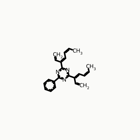 C=C/C(=C\C=C/C)c1nc(/C(C=C)=C/C=C\C)nc(-c2ccccc2)n1